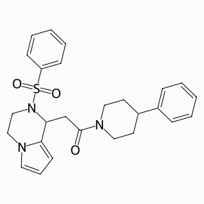 O=C(CC1c2cccn2CCN1S(=O)(=O)c1ccccc1)N1CCC(c2ccccc2)CC1